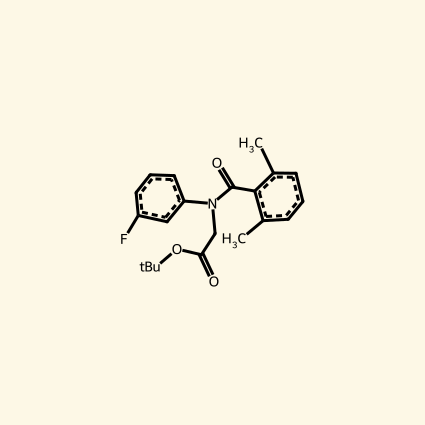 Cc1cccc(C)c1C(=O)N(CC(=O)OC(C)(C)C)c1cccc(F)c1